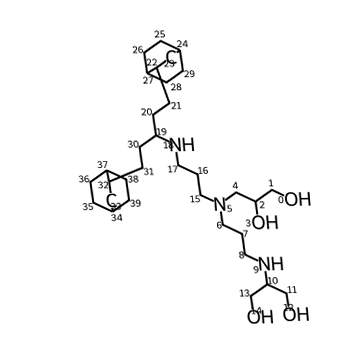 OCC(O)CN(CCCNC(CO)CO)CCCNC(CCC1CC2CCC1CC2)CCC1CC2CCC1CC2